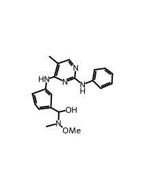 CON(C)C(O)c1cccc(Nc2nc(Nc3ccccc3)ncc2C)c1